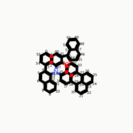 c1ccc(-c2ccc3ccccc3c2N(c2ccc(-c3cccc4cccc(-c5ccccc5)c34)cc2)c2cccc3c2oc2ccc4ccccc4c23)cc1